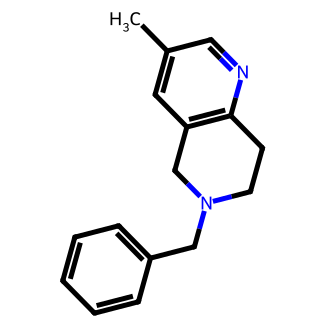 Cc1cnc2c(c1)CN(Cc1ccccc1)CC2